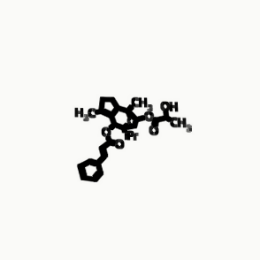 CC1=C2C(CC1)C1(C)OC(C(C)C)(CC1OC(=O)C(C)O)C2OC(=O)C=Cc1ccccc1